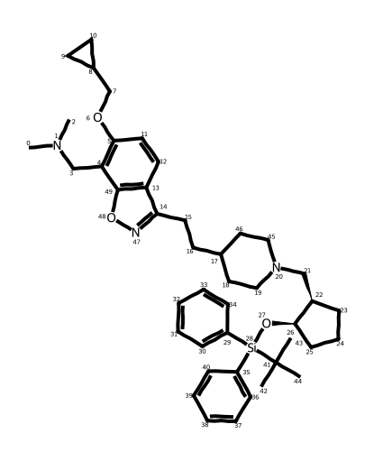 CN(C)Cc1c(OCC2CC2)ccc2c(CCC3CCN(C[C@H]4CCC[C@H]4O[Si](c4ccccc4)(c4ccccc4)C(C)(C)C)CC3)noc12